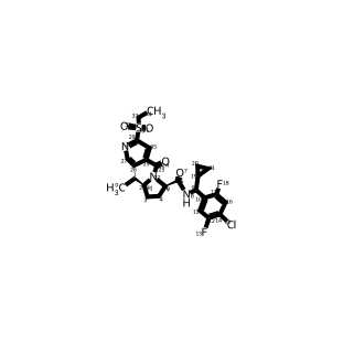 CC[C@@H]1CC[C@H](C(=O)NC(c2cc(F)c(Cl)cc2F)C2CC2)N1C(=O)c1ccnc(S(=O)(=O)CC)c1